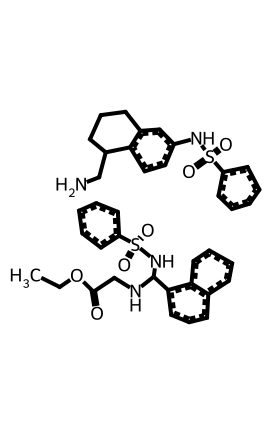 CCOC(=O)CNC(NS(=O)(=O)c1ccccc1)c1cccc2ccccc12.NCC1CCCc2cc(NS(=O)(=O)c3ccccc3)ccc21